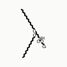 CCCCCCCCCCCCCCOCC(CCNC(=O)OCCOC)OCCCCCCCCCCCCCC